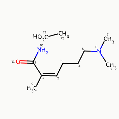 CC(=CCCCN(C)C)C(N)=O.CC(=O)O